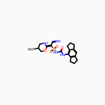 CNC1CN/C(=C(\C=N)S(=O)(=S)NC(=O)Nc2c3c(cc4c2CCC4)CCC3)OC1